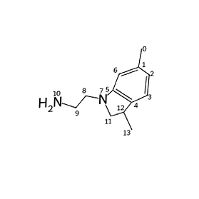 Cc1ccc2c(c1)N(CCN)CC2C